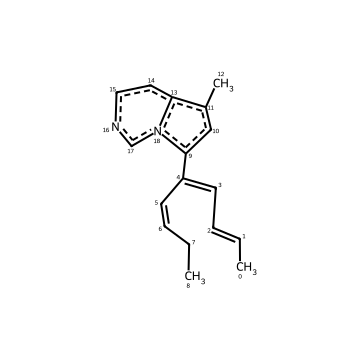 C/C=C/C=C(\C=C/CC)c1cc(C)c2ccncn12